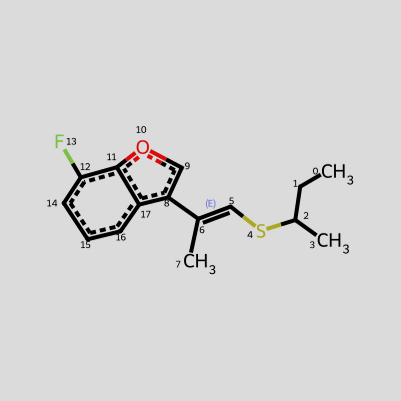 CCC(C)S/C=C(\C)c1coc2c(F)cccc12